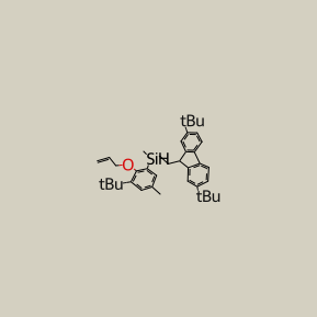 C=CCOc1c([SiH](C)CCC2c3cc(C(C)(C)C)ccc3-c3ccc(C(C)(C)C)cc32)cc(C)cc1C(C)(C)C